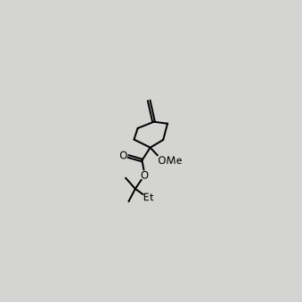 C=C1CCC(OC)(C(=O)OC(C)(C)CC)CC1